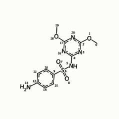 COc1nc(NS(=O)(=O)c2ccc(N)cc2)nc(OC)n1